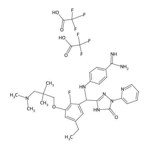 CCc1cc(OCC(C)(C)CN(C)C)c(F)c(C(Nc2ccc(C(=N)N)cc2)c2nn(-c3ccccn3)c(=O)[nH]2)c1.O=C(O)C(F)(F)F.O=C(O)C(F)(F)F